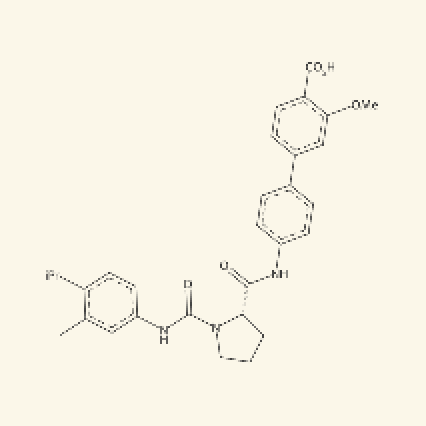 COc1cc(-c2ccc(NC(=O)[C@@H]3CCCN3C(=O)Nc3ccc(C(C)C)c(C)c3)cc2)ccc1C(=O)O